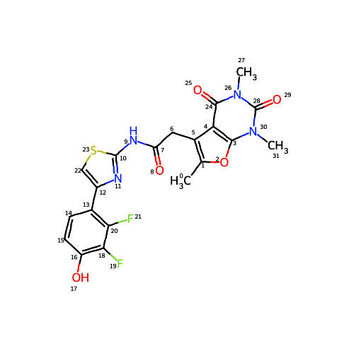 Cc1oc2c(c1CC(=O)Nc1nc(-c3ccc(O)c(F)c3F)cs1)c(=O)n(C)c(=O)n2C